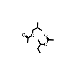 CC(=O)OCC(C)C.CCC(C)OC(C)=O